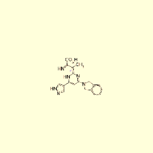 C/C(C(=N)C(=O)O)=C1\N=C(N2Cc3ccccc3C2)C=C(c2cn[nH]c2)N1